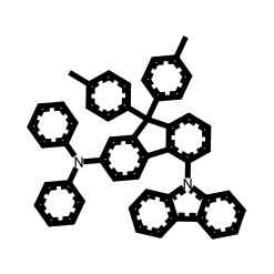 Cc1ccc(C2(c3ccc(C)cc3)c3cc(N(c4ccccc4)c4ccccc4)ccc3-c3c(-n4c5ccccc5c5ccccc54)cccc32)cc1